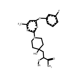 CC(C)OC(CC1(O)CCN(c2nc(Oc3cccc(F)c3)cc(C(F)(F)F)n2)CC1)C(N)=O